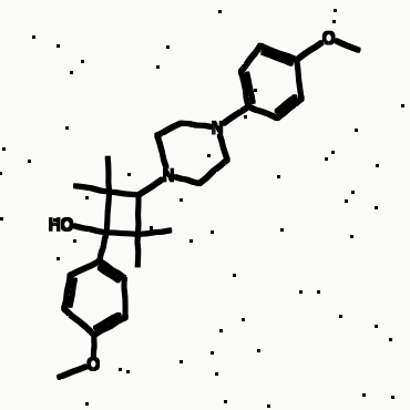 COc1ccc(N2CCN(C3C(C)(C)C(O)(c4ccc(OC)cc4)C3(C)C)CC2)cc1